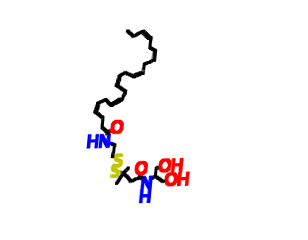 CC/C=C\C/C=C\C/C=C\C/C=C\C/C=C\C/C=C\CCC(=O)NCCSSC(C)(C)CC(=O)NC(CO)CO